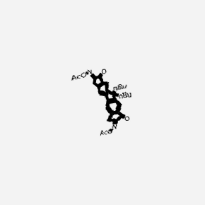 CCCCC1(CCCC)c2cc3c(cc2-c2cc4c(cc21)C(=O)/C(=N/OC(C)=O)C4)C/C(=N\OC(C)=O)C3=O